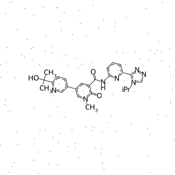 CC(C)n1cnnc1-c1cccc(NC(=O)c2cc(-c3ccc(C(C)(C)O)nc3)cn(C)c2=O)n1